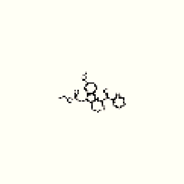 CCOC(=O)Cc1c2n(c3ccc(OC)cc13)C(C(=O)c1ccccn1)=NCC2